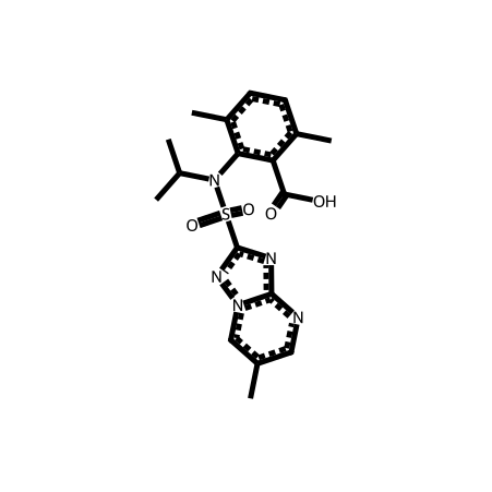 Cc1cnc2nc(S(=O)(=O)N(c3c(C)ccc(C)c3C(=O)O)C(C)C)nn2c1